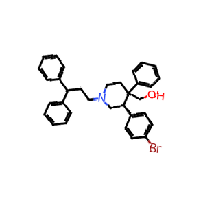 OCC1(c2ccccc2)CCN(CCC(c2ccccc2)c2ccccc2)CC1c1ccc(Br)cc1